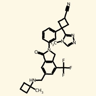 Cn1cnnc1C1(c2cccc(N3Cc4c(cc(CNC5(C)CCC5)cc4C(F)(F)F)C3=O)c2)CC(C#N)C1